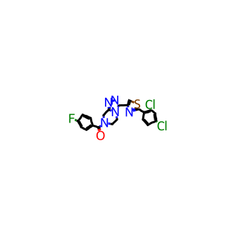 O=C(c1ccc(F)cc1)N1CCn2c(nnc2-c2csc(-c3ccc(Cl)cc3Cl)n2)C1